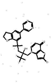 CC(C)(CC(O)(Cn1ccc(=O)c2sc(Cl)cc21)C(F)(F)F)c1cc(-c2cncnc2)cc2c1OCC2